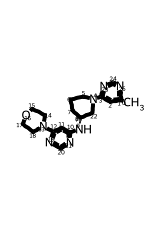 Cc1cc(N2CCC[C@@H](Nc3cc(N4CCOCC4)ncn3)C2)ncn1